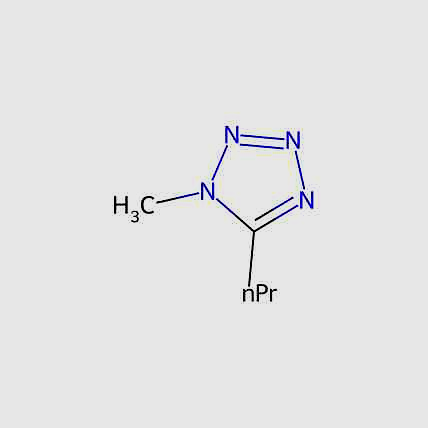 [CH2]CCc1nnnn1C